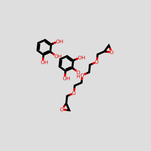 C(COCC1CO1)OCCOCC1CO1.Oc1cccc(O)c1O.Oc1cccc(O)c1O